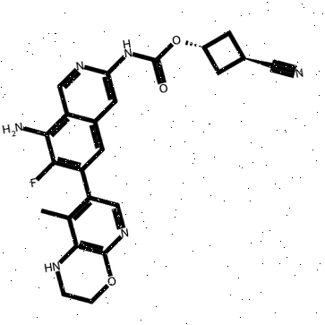 Cc1c(-c2cc3cc(NC(=O)O[C@H]4C[C@H](C#N)C4)ncc3c(N)c2F)cnc2c1NCCO2